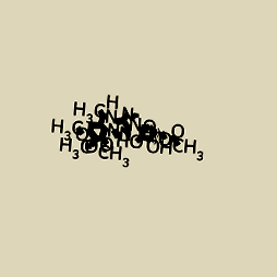 COc1cc(C(C)Nc2ncnc3c2ncn3[C@@H]2O[C@H](COC(C)=O)[C@H](O)C2O)cc(OC)c1OC